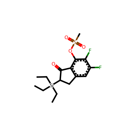 CC[Si](CC)(CC)C1Cc2cc(F)c(F)c(OS(C)(=O)=O)c2C1=O